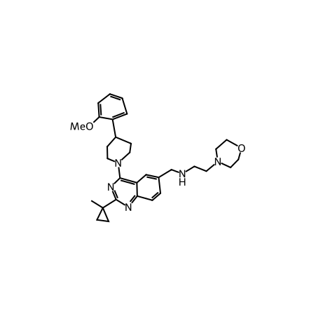 COc1ccccc1C1CCN(c2nc(C3(C)CC3)nc3ccc(CNCCN4CCOCC4)cc23)CC1